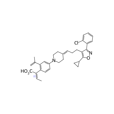 C=C(C)c1cc(N2CCC(=CCCc3c(-c4ccccc4Cl)noc3C3CC3)CC2)ccc1/C(=C\C)C(=O)O